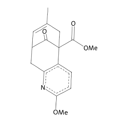 COC(=O)C12CC(C)=CC(Cc3nc(OC)ccc31)C2=O